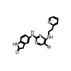 O=C1Cc2cc(Nc3ncc(Br)c(NCCc4ccccn4)n3)ccc2N1